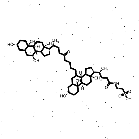 C[C@H](CCC(=O)CCCCC1CC2C[C@@H](O)CC[C@@]2(C)[C@@H]2CC[C@]3(C)C(CC[C@H]3[C@@H](C)CCC(=O)NCCS(=O)(=O)O)[C@@H]12)[C@H]1CCC2[C@@H]3[C@@H](O)CC4C[C@H](O)CC[C@]4(C)[C@H]3CC[C@@]21C